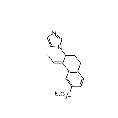 CC=C1c2cc(C(=O)OCC)ccc2CCC1n1ccnc1